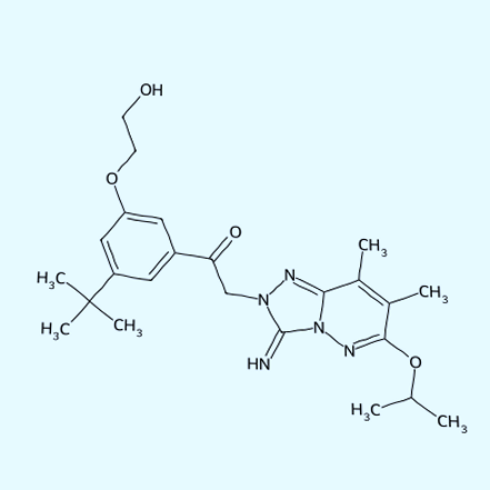 Cc1c(OC(C)C)nn2c(=N)n(CC(=O)c3cc(OCCO)cc(C(C)(C)C)c3)nc2c1C